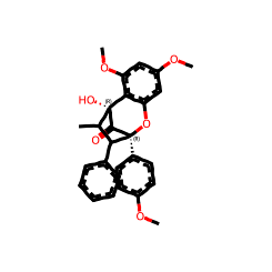 COc1ccc([C@@]23Oc4cc(OC)cc(OC)c4[C@@](O)(C2=O)C(C)C3c2ccccc2)cc1